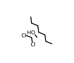 CCCCCCC.CO.ClCCl